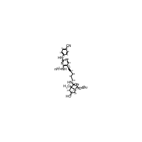 CCCNc1nc(Nc2ccc(C#N)cc2)ncc1C#CCCCNC(=O)[C@]1(C)C[C@H](O)CN1C(=O)OC(C)(C)C